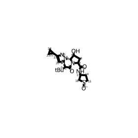 CC(C)(C)C(C(=O)N1CC(O)CC1C(=O)NC1CC[S+]([O-])C1)n1cc(C2CC2)nn1